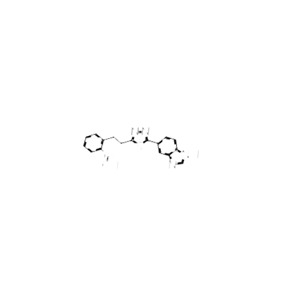 COc1ccccc1CCc1nnc(-c2ccc3[nH]cnc3c2)s1